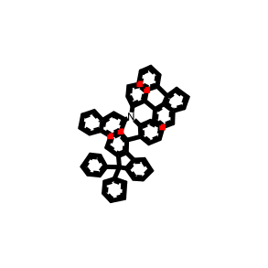 c1ccc(-c2cccc3cccc(-c4ccccc4N(c4ccc5ccccc5c4)c4ccccc4-c4cccc5c4-c4ccccc4C5(c4ccccc4)c4ccccc4)c23)cc1